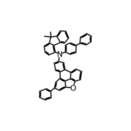 CC1(C)c2ccccc2-c2c(N(c3ccc(-c4ccccc4)cc3)c3ccc4c(c3)c3cccc5oc6cc(-c7ccccc7)cc4c6c53)cccc21